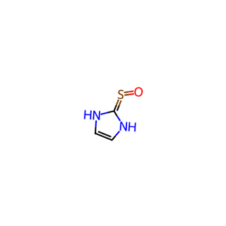 O=S=c1[nH]cc[nH]1